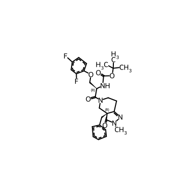 CN1N=C2CCN(C(=O)[C@@H](COc3ccc(F)cc3F)NC(=O)OC(C)(C)C)C[C@@]2(Cc2ccccc2)C1=O